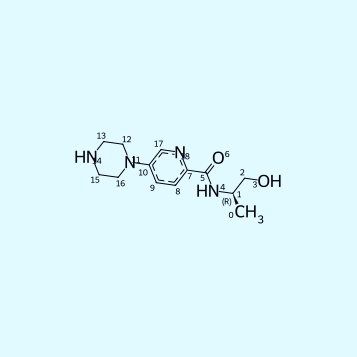 C[C@H](CO)NC(=O)c1ccc(N2CCNCC2)cn1